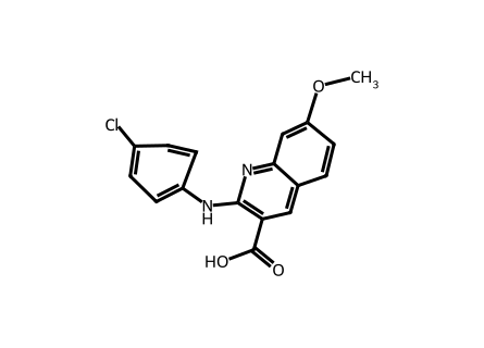 COc1ccc2cc(C(=O)O)c(Nc3ccc(Cl)cc3)nc2c1